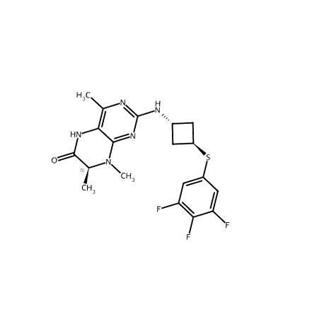 Cc1nc(N[C@H]2C[C@H](Sc3cc(F)c(F)c(F)c3)C2)nc2c1NC(=O)[C@H](C)N2C